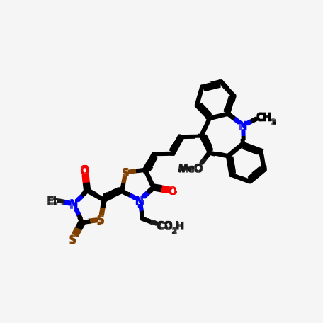 CCN1C(=O)/C(=c2\s/c(=C/C=C/C3=C(OC)c4ccccc4N(C)c4ccccc43)c(=O)n2CC(=O)O)SC1=S